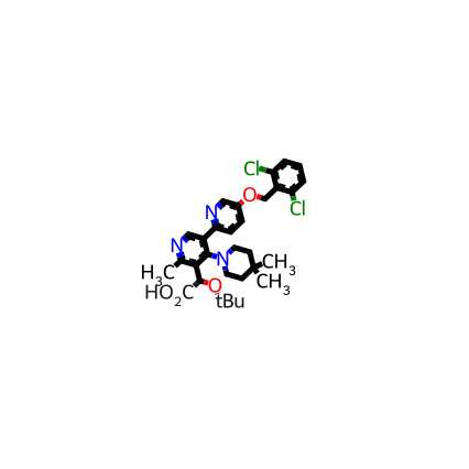 Cc1ncc(-c2ccc(OCc3c(Cl)cccc3Cl)cn2)c(N2CCC(C)(C)CC2)c1C(OC(C)(C)C)C(=O)O